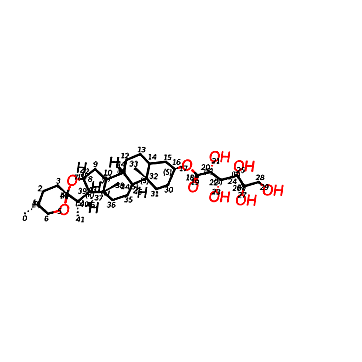 C[C@@H]1CC[C@@]2(OC1)O[C@H]1C[C@H]3[C@@H]4CCC5C[C@@H](OC(=O)[C@H](O)[C@@H](O)[C@H](O)[C@H](O)CO)CC[C@]5(C)[C@H]4CC[C@]3(C)[C@H]1[C@@H]2C